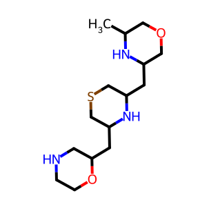 CC1COCC(CC2CSCC(CC3CNCCO3)N2)N1